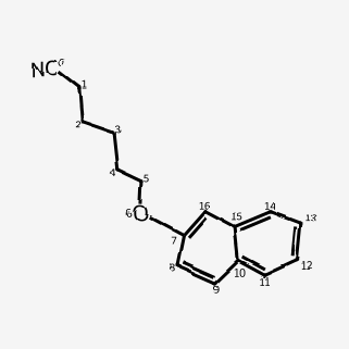 N#CCCCCCOc1ccc2ccccc2c1